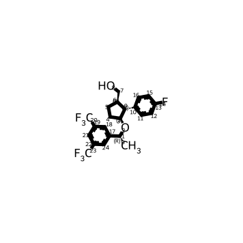 C[C@@H](O[C@H]1CC[C@@H](CO)[C@@H]1c1ccc(F)cc1)c1cc(C(F)(F)F)cc(C(F)(F)F)c1